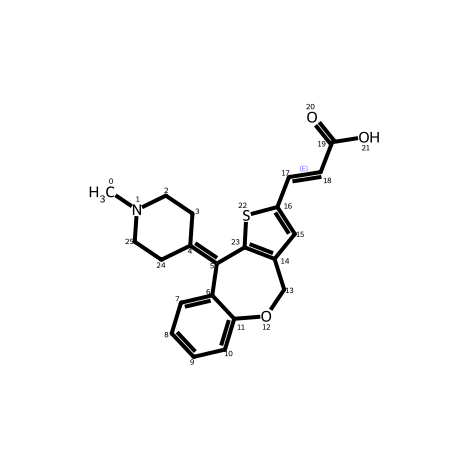 CN1CCC(=C2c3ccccc3OCc3cc(/C=C/C(=O)O)sc32)CC1